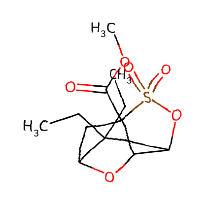 CCC1(CC)C2CC3(C(=O)OC)C(O2)C1OS3(=O)=O